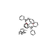 C[C@H]([c-]1cccc1-c1ccccc1P(c1ccccc1)c1ccccc1)P(c1ccccc1)c1ccccc1.[Fe+2].c1cc[cH-]c1